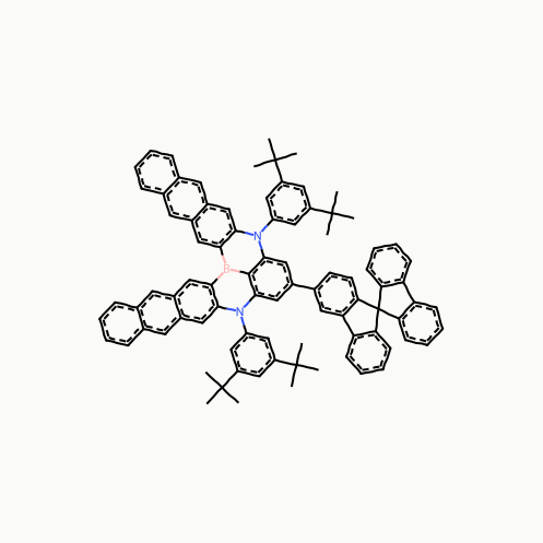 CC(C)(C)c1cc(N2c3cc4cc5ccccc5cc4cc3B3c4cc5cc6ccccc6cc5cc4N(c4cc(C(C)(C)C)cc(C(C)(C)C)c4)c4cc(-c5ccc6c(c5)-c5ccccc5C65c6ccccc6-c6ccccc65)cc2c43)cc(C(C)(C)C)c1